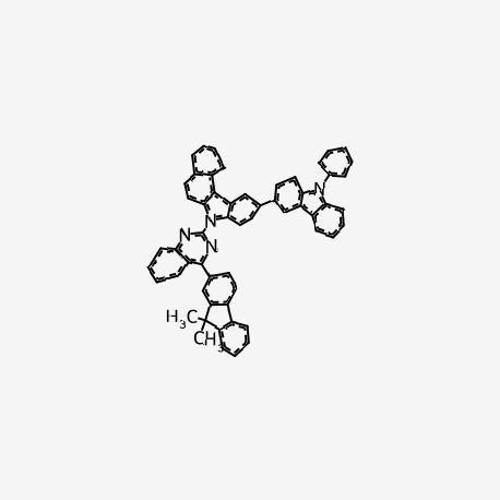 CC1(C)c2ccccc2-c2ccc(-c3nc(-n4c5ccc(-c6ccc7c(c6)c6ccccc6n7-c6ccccc6)cc5c5c6ccccc6ccc54)nc4ccccc34)cc21